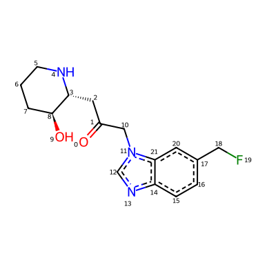 O=C(C[C@H]1NCCC[C@@H]1O)Cn1cnc2ccc(CF)cc21